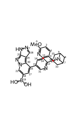 COc1ccc(CN2C3CC2CN(c2ccc(-c4cc(B(O)O)cn5nc6[nH]ncc6c45)cn2)C3)cn1